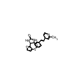 Cc1cc(/C=C/c2ccc(Sc3ccoc3C3NC(=O)NC3=O)cc2)ccn1